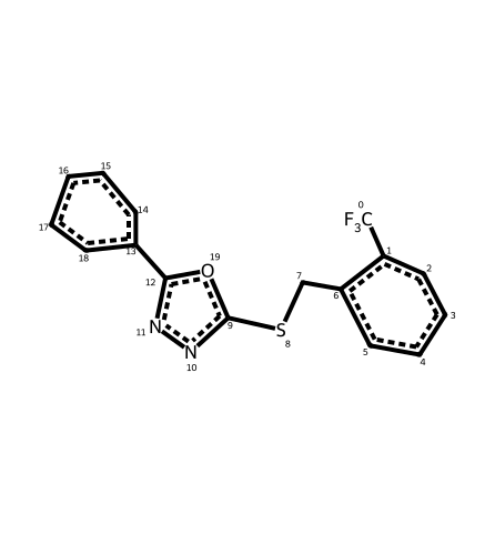 FC(F)(F)c1ccccc1CSc1nnc(-c2ccccc2)o1